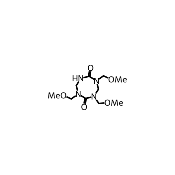 COCN1CN(COC)C(=O)N(COC)CNC1=O